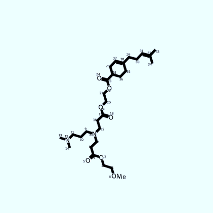 COCCOC(=O)CCN(CCCN(C)C)CCC(=O)OCCOC(=O)C1CC=C(CCC=C(C)C)CC1